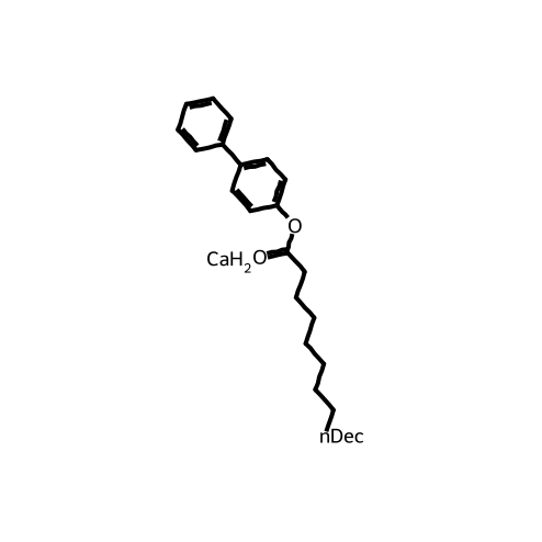 CCCCCCCCCCCCCCCCCC(=O)Oc1ccc(-c2ccccc2)cc1.[CaH2]